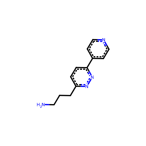 NCCCc1ccc(-c2ccncc2)nn1